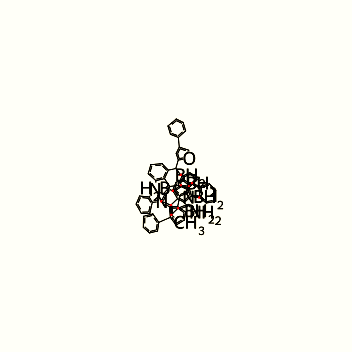 Bc1c(B)c(B)c(C2=C(C)\C=C(/N)n3c4ccccc4c4ccc5c(c43)C3(\C=C\2)c2c(cccc2N2c4ccccc4N(c4c(-c6ccccc6)cccc4-c4ccccc4)C23)C5c2cc(-c3ccccc3)co2)c(B)c1B